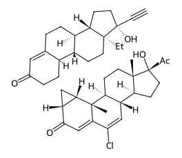 C#C[C@]1(O)CC[C@H]2[C@@H]3CCC4=CC(=O)CC[C@@H]4[C@H]3CC[C@@]21CC.CC(=O)[C@@]1(O)CC[C@H]2[C@@H]3C=C(Cl)C4=CC(=O)[C@@H]5C[C@@H]5[C@]4(C)[C@H]3CC[C@@]21C